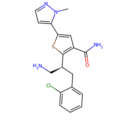 Cn1nccc1-c1cc(C(N)=O)c([C@H](CN)Cc2ccccc2Cl)s1